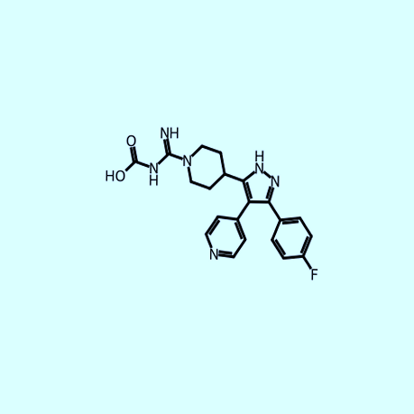 N=C(NC(=O)O)N1CCC(c2[nH]nc(-c3ccc(F)cc3)c2-c2ccncc2)CC1